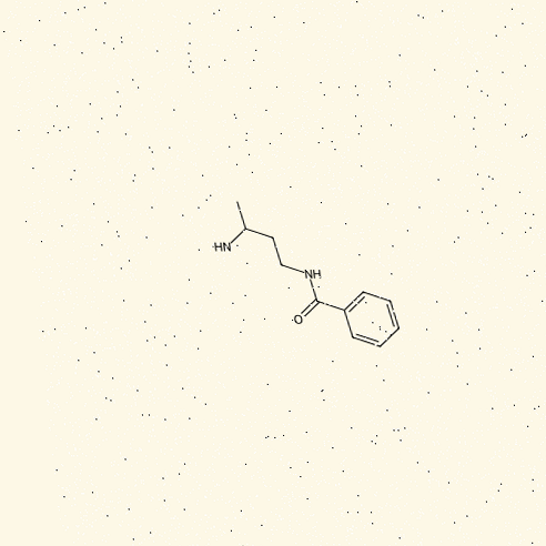 CC([NH])CCNC(=O)c1ccccc1